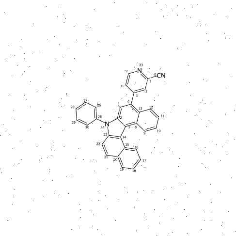 N#Cc1cc(-c2cc3c(c4ccccc24)c2c4ccccc4ccc2n3-c2ccccc2)ccn1